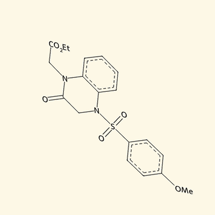 CCOC(=O)CN1C(=O)CN(S(=O)(=O)c2ccc(OC)cc2)c2ccccc21